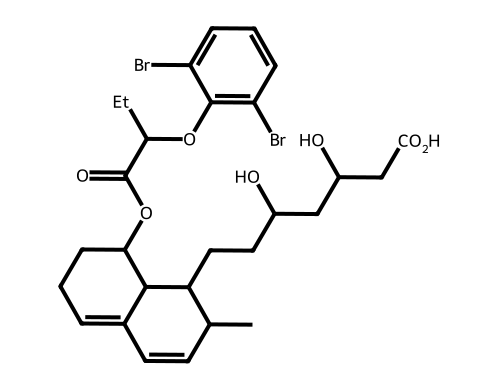 CCC(Oc1c(Br)cccc1Br)C(=O)OC1CCC=C2C=CC(C)C(CCC(O)CC(O)CC(=O)O)C21